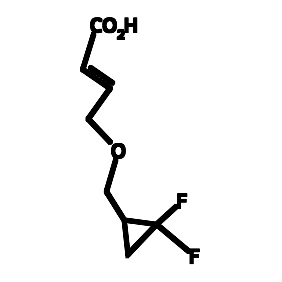 O=C(O)/C=C/COCC1CC1(F)F